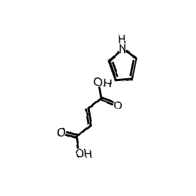 O=C(O)C=CC(=O)O.c1cc[nH]c1